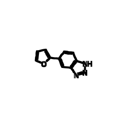 c1coc(-c2ccc3[nH]nnc3c2)c1